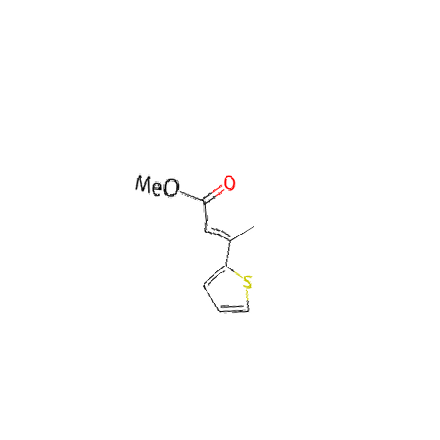 COC(=O)C=C(C)c1cccs1